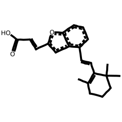 CC1=C(C=Cc2cccc3oc(C=CC(=O)O)cc23)C(C)(C)CCC1